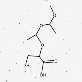 COC(C)OC(C)OC(CS)C(=O)O